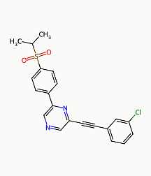 CC(C)S(=O)(=O)c1ccc(-c2cncc(C#Cc3cccc(Cl)c3)n2)cc1